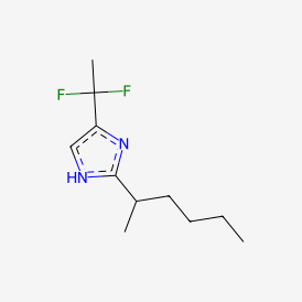 CCCCC(C)c1nc(C(C)(F)F)c[nH]1